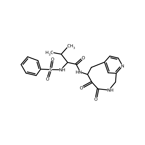 CC(C)C(NS(=O)(=O)c1ccccc1)C(=O)NC1Cc2ccnc(c2)CNC(=O)C1=O